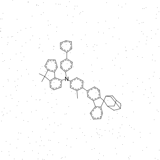 Cc1cc(N(c2ccc(-c3ccccc3)cc2)c2cccc3c2-c2ccccc2C3(C)C)ccc1-c1ccc2c(c1)-c1ccccc1C21C2CC3CC(C2)CC1C3